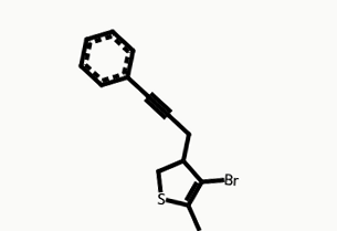 CC1=C(Br)C(CC#Cc2ccccc2)CS1